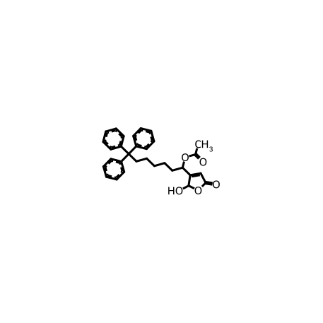 CC(=O)OC(CCCCCC(c1ccccc1)(c1ccccc1)c1ccccc1)C1=CC(=O)OC1O